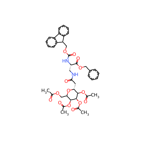 CC(=O)OCC1O[C@H](CC(=O)NC[C@H](NC(=O)OCC2c3ccccc3-c3ccccc32)C(=O)OCc2ccccc2)C(OC(C)=O)[C@@H](OC(C)=O)[C@H]1OC(C)=O